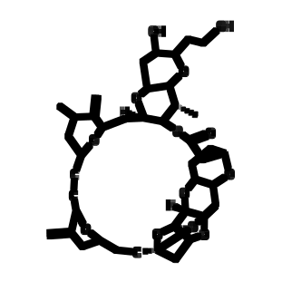 C=C1CC2CC[C@@]34CC5OC6C(O3)C3OC(CCC3O[C@H]6[C@H]5O4)CC(=O)OC3[C@@H](C)C4OC(CCO)C(O)CC4O[C@@H]3CC3OC(CCC1O2)CC(C)C3=C